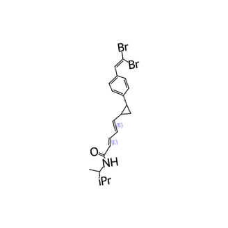 CC(C)C(C)NC(=O)/C=C/C=C/C1CC1c1ccc(C=C(Br)Br)cc1